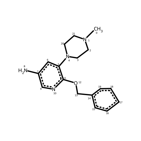 CN1CCN(c2cc(N)cnc2OCc2ccccc2)CC1